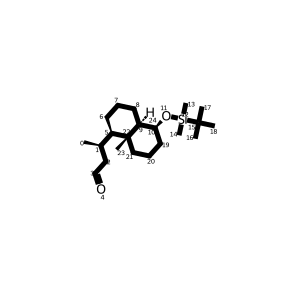 C[C@H](CC=O)[C@H]1CCC[C@H]2[C@@H](O[Si](C)(C)C(C)(C)C)CCC[C@]12C